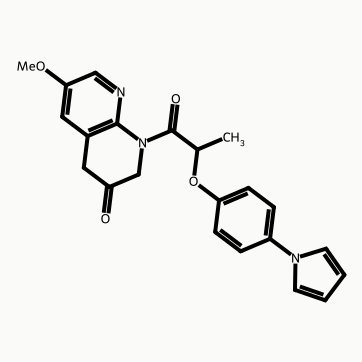 COc1cnc2c(c1)CC(=O)CN2C(=O)C(C)Oc1ccc(-n2cccc2)cc1